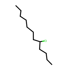 CCCCCCCC(Cl)CCCC